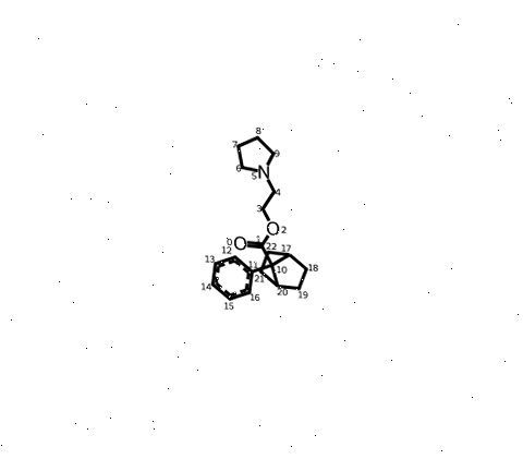 O=C(OCCN1CCCC1)C1(c2ccccc2)C2CCC1CC2